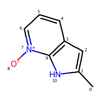 Cc1cc2ccc[n+]([O-])c2[nH]1